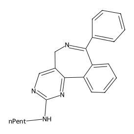 CCCCCNc1ncc2c(n1)-c1ccccc1C(c1ccccc1)=NC2